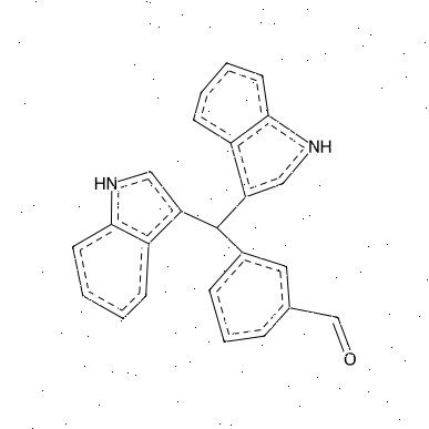 O=Cc1cccc(C(c2c[nH]c3ccccc23)c2c[nH]c3ccccc23)c1